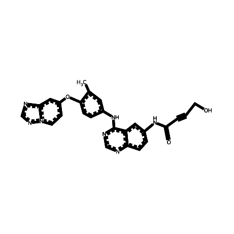 Cc1cc(Nc2ncnc3ccc(NC(=O)C#CCO)cc23)ccc1Oc1ccn2ncnc2c1